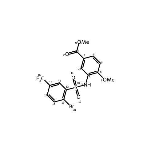 COC(=O)c1ccc(OC)c(NS(=O)(=O)c2cc(C(F)(F)F)ccc2Br)c1